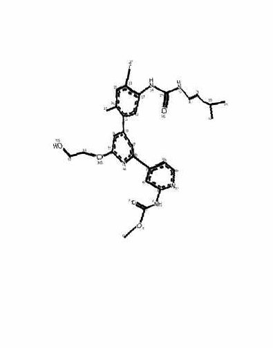 COC(=O)Nc1cc(-c2cc(-c3cc(NC(=O)NCCC(C)C)c(F)cc3C)cc(OCCO)n2)ccn1